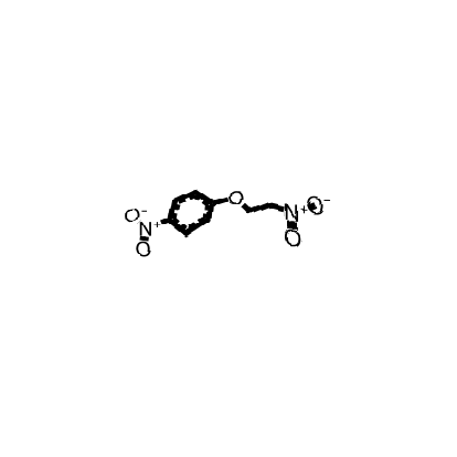 O=[N+]([O-])CCOc1ccc([N+](=O)[O-])cc1